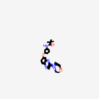 CC(C)(C)C(=O)Nc1cccc(Oc2ccc3ncc(N4CCOCC4)nc3c2)c1